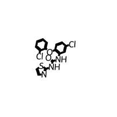 O=C(Nc1nccs1)Nc1cc(Cl)ccc1Oc1ccccc1Cl